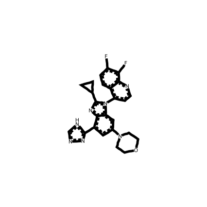 Fc1ccc2c(-n3c(C4CC4)nc4c(-c5nnc[nH]5)cc(N5CCOCC5)cc43)ccnc2c1F